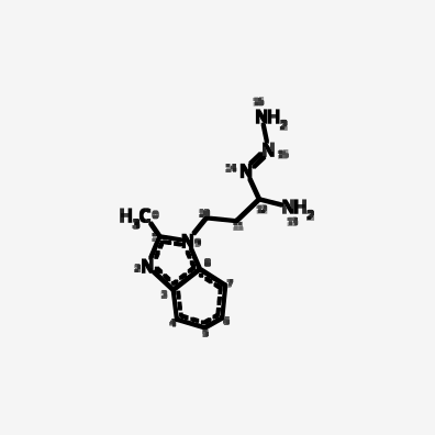 Cc1nc2ccccc2n1CCC(N)N=NN